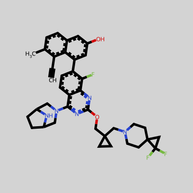 C#Cc1c(C)ccc2cc(O)cc(-c3ccc4c(N5CC6CCC(C5)N6)nc(OCC5(CN6CCC7(CC6)CC7(F)F)CC5)nc4c3F)c12